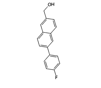 OCc1ccc2cc(-c3ccc(F)cc3)ccc2c1